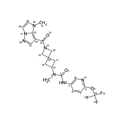 CN(C(=O)Nc1ccc(OC(F)(F)F)nc1)C1CC2(C1)CN(C(=O)c1cnn3ccn(C)c13)C2